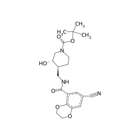 CC(C)(C)OC(=O)N1CC[C@@H](CNC(=O)c2cc(C#N)cc3c2OCCO3)[C@H](O)C1